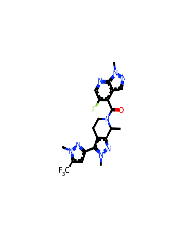 CC1c2nn(C)c(-c3cc(C(F)(F)F)n(C)n3)c2CCN1C(=O)c1c(F)cnc2c1cnn2C